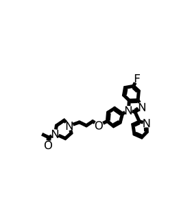 CC(=O)N1CCN(CCCOc2ccc(-n3c(-c4ccccn4)nc4cc(F)ccc43)cc2)CC1